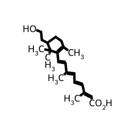 CC1=C(/C=C/C(C)=C/C=C/C(C)=C/C(=O)O)C(C)(C)C(CCO)CC1